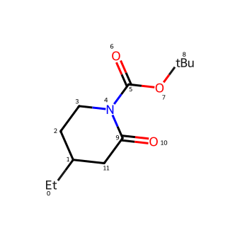 CCC1CCN(C(=O)OC(C)(C)C)C(=O)C1